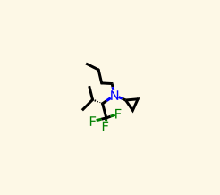 CCCCN(C1CC1)[C@@H](C(C)C)C(F)(F)F